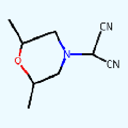 CC1CN(C(C#N)C#N)CC(C)O1